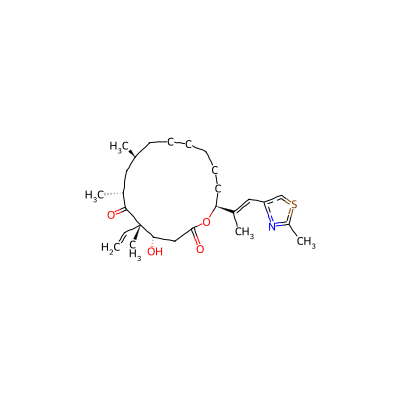 C=C[C@]1(C)C(=O)[C@H](C)C[C@@H](C)CCCCCC[C@@H](/C(C)=C/c2csc(C)n2)OC(=O)C[C@@H]1O